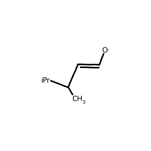 CC(C)C(C)C=C[O]